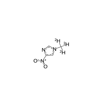 [2H]C([2H])([2H])n1cnc([N+](=O)[O-])c1